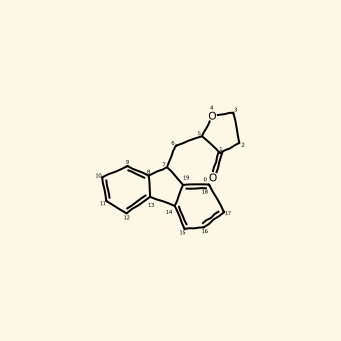 O=C1CCOC1CC1c2ccccc2-c2ccccc21